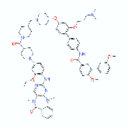 CCOc1cc(N2CCC(C(=O)N3CCC(CN4CCC(Oc5ccc(-c6ccc(NC(=O)c7ccc(OC)c(-c8cccc(OC)c8)c7)cc6)c(OCCCN(C)C)c5)CC4)CC3)CC2)ccc1Nc1ncc2c(n1)N(C)c1ccccc1C(=O)N2C